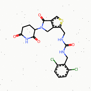 O=C1CCC(N2Cc3c(csc3CNC(=O)NCc3c(Cl)cccc3Cl)C2=O)C(=O)N1